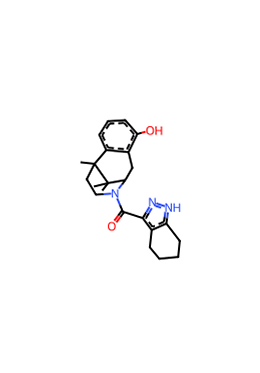 CC12CCN(C(=O)c3n[nH]c4c3CCCC4)C(Cc3c(O)cccc31)C2(C)C